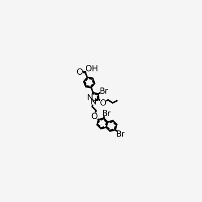 CCCOc1c(Br)c(-c2ccc(C(=O)O)cc2)nn1CCOc1ccc2cc(Br)ccc2c1Br